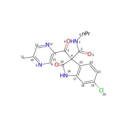 CCCNC(=O)C1(C(=O)c2cnc(C)cn2)C(=O)Nc2cc(Cl)ccc21